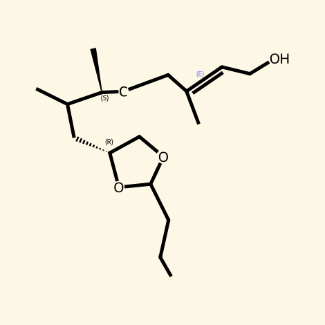 CCCC1OC[C@@H](CC(C)[C@@H](C)CC/C(C)=C/CO)O1